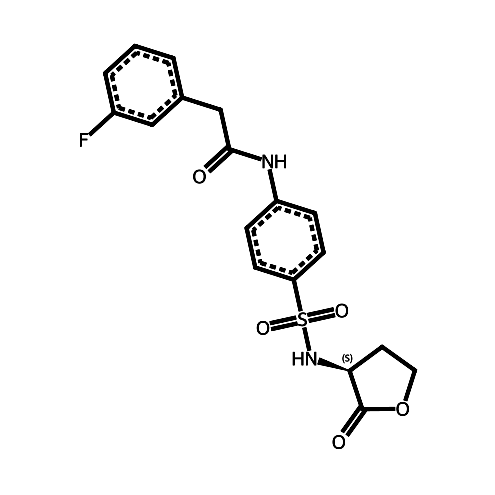 O=C(Cc1cccc(F)c1)Nc1ccc(S(=O)(=O)N[C@H]2CCOC2=O)cc1